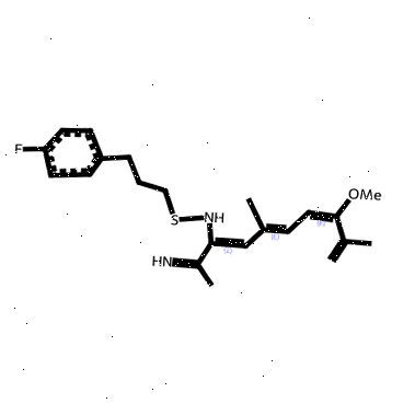 C=C(C)\C(=C/C=C(C)/C=C(\NSCCCc1ccc(F)cc1)C(C)=N)OC